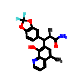 CCC(C(N)=O)C(c1ccc2c(c1)OC(F)(F)O2)c1cc(C)c2cccnc2c1O